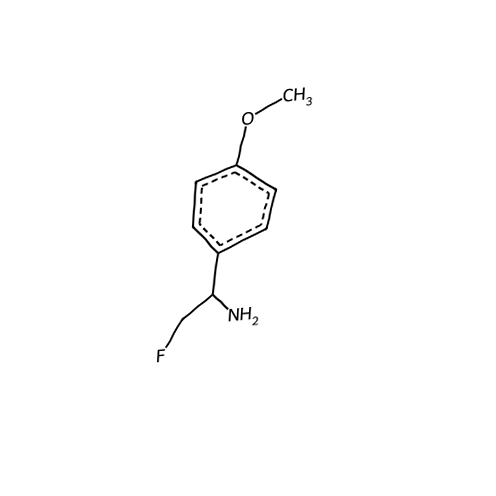 COc1ccc(C(N)CF)cc1